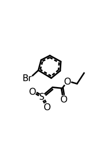 Brc1ccccc1.CCOC(=O)C=S(=O)=O